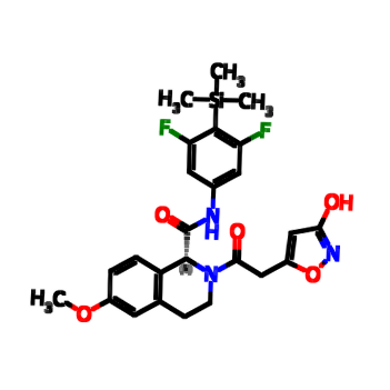 COc1ccc2c(c1)CCN(C(=O)Cc1cc(O)no1)[C@H]2C(=O)Nc1cc(F)c([Si](C)(C)C)c(F)c1